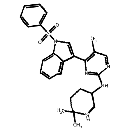 CC1(C)CCC(Nc2ncc(C(F)(F)F)c(-c3cn(S(=O)(=O)c4ccccc4)c4ccccc34)n2)CN1